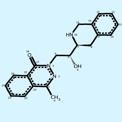 Cc1nn(C[C@@H](O)[C@@H]2Cc3ccccc3CN2)c(=O)c2ccccc12